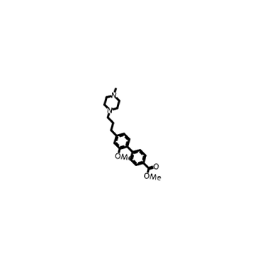 COC(=O)c1ccc(-c2ccc(CCCN3CCN(C)CC3)cc2OC)cc1